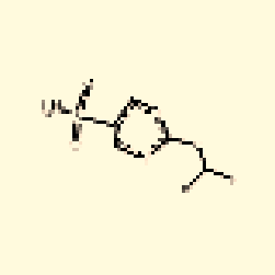 NS(=O)(=O)c1cnc(OC(F)F)nc1